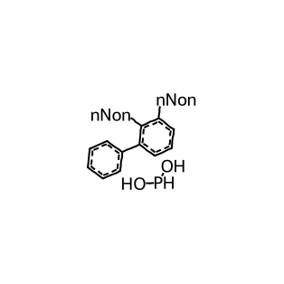 CCCCCCCCCc1cccc(-c2ccccc2)c1CCCCCCCCC.OPO